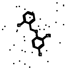 N#Cc1cc(Cl)ccc1OCc1ccccc1Cl